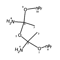 CCCOC(C)(N)OC(C)(N)OCCC